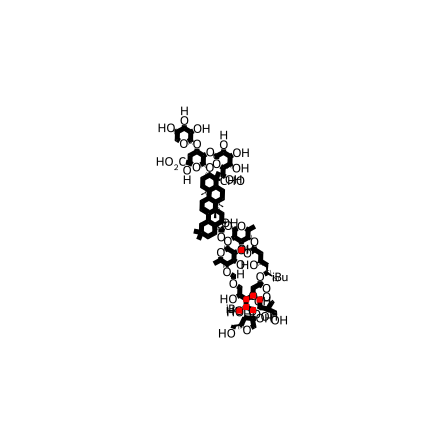 CC[C@H](C)[C@H](C[C@H](O)CC(=O)O[C@@H]1C(C)O[C@@H](OC(=O)[C@]23CCC(C)(C)CC2C2=CCC4[C@@]5(C)CC[C@H](O[C@@H]6OC(O)(C(=O)O)CC(O[C@@H]7OC[C@@H](O)C(O)C7O)C6O[C@@H]6OC(CO)[C@H](O)C(O)C6O)[C@@](C)(C=O)C5CC[C@@]4(C)[C@]2(C)C[C@H]3O)C(O[C@@H]2OC(C)[C@H](OCOCC(O)[C@H](O[C@@H]3OCC(O)(CO)C3O)C(C)O)C(O)C2O)C1O)OC(=O)C[C@@H](O)C[C@H](OC1(O)CO[C@@H](CO)C1O)[C@@H](C)CC